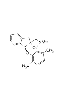 CNC[C@]1(O)Cc2ccccc2[C@@H]1Oc1cc(C)ccc1C